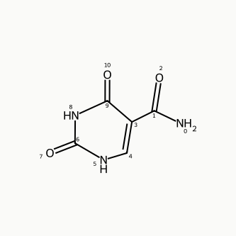 NC(=O)c1c[nH]c(=O)[nH]c1=O